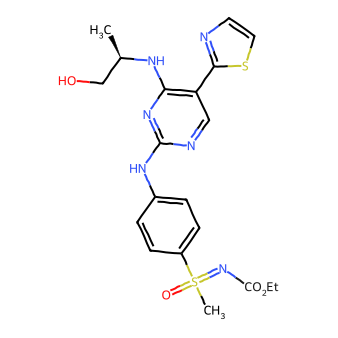 CCOC(=O)N=S(C)(=O)c1ccc(Nc2ncc(-c3nccs3)c(N[C@H](C)CO)n2)cc1